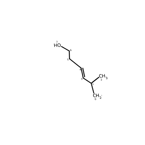 [CH2]C(C)/C=C/CCO